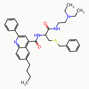 CCCCc1ccc2nc(-c3ccccc3)cc(C(=O)NC(CSCc3ccccc3)C(=O)NCCN(CC)CC)c2c1